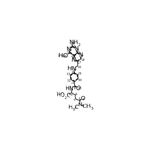 CN(C)C(=O)CC[C@H](NC(=O)c1ccc(NCc2cnc3nc(N)nc(O)c3n2)cc1)C(=O)O